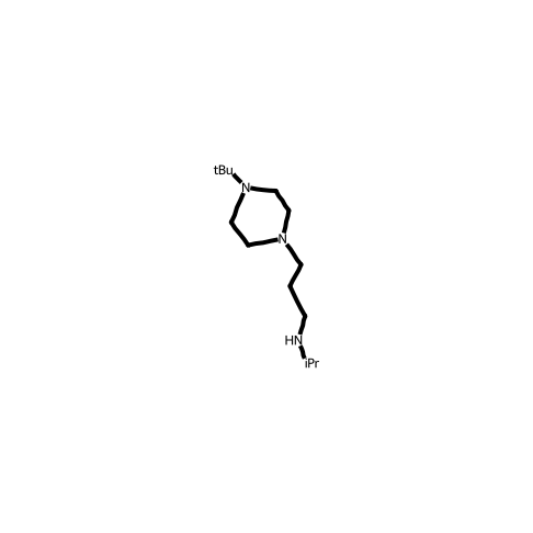 CC(C)NCCCN1CCN(C(C)(C)C)CC1